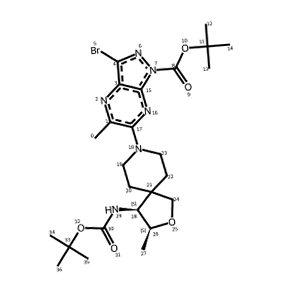 Cc1nc2c(Br)nn(C(=O)OC(C)(C)C)c2nc1N1CCC2(CC1)CO[C@@H](C)[C@H]2NC(=O)OC(C)(C)C